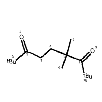 CC(C)(C)C(=O)CCC(C)(C)C(=O)C(C)(C)C